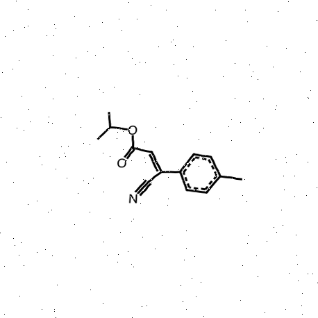 Cc1ccc(C(C#N)=CC(=O)OC(C)C)cc1